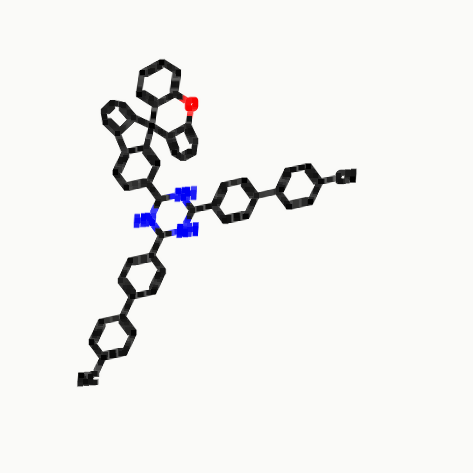 N#Cc1ccc(-c2ccc(C3NC(c4ccc(-c5ccc(C#N)cc5)cc4)NC(c4ccc5c(c4)C4(c6ccccc6Oc6ccccc64)c4ccccc4-5)N3)cc2)cc1